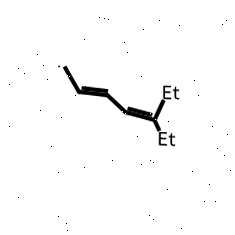 [CH2]C=CC=C(CC)CC